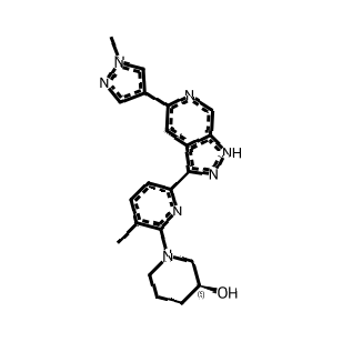 Cc1ccc(-c2n[nH]c3cnc(-c4cnn(C)c4)cc23)nc1N1CCC[C@H](O)C1